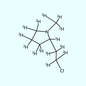 [2H]C([2H])([2H])N1C([2H])([2H])C([2H])([2H])C([2H])([2H])C1([2H])C([2H])([2H])C([2H])([2H])Cl